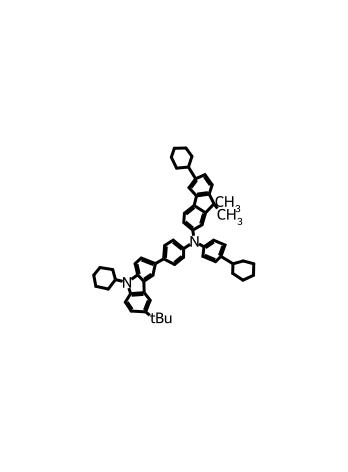 CC(C)(C)c1ccc2c(c1)c1cc(-c3ccc(N(c4ccc(C5CCCCC5)cc4)c4ccc5c(c4)C(C)(C)c4ccc(C6CCCCC6)cc4-5)cc3)ccc1n2C1CCCCC1